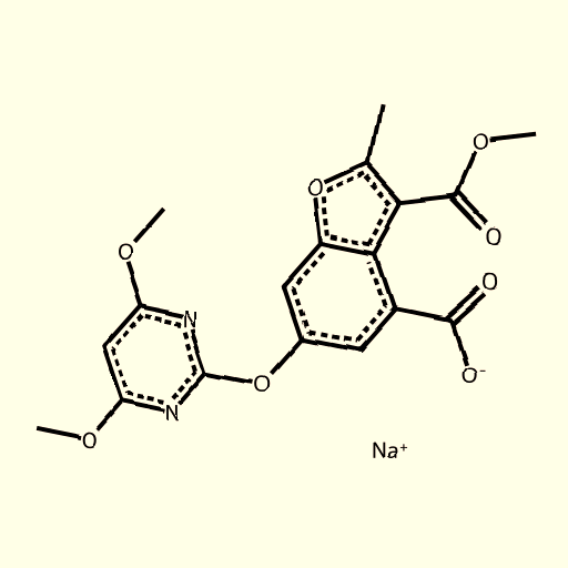 COC(=O)c1c(C)oc2cc(Oc3nc(OC)cc(OC)n3)cc(C(=O)[O-])c12.[Na+]